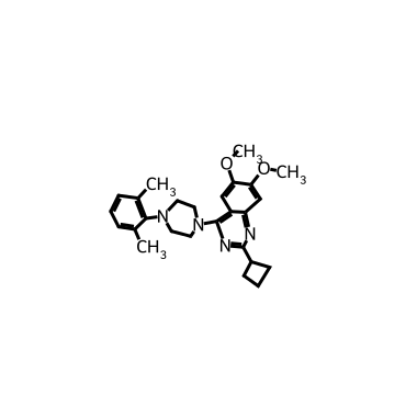 COc1cc2nc(C3CCC3)nc(N3CCN(c4c(C)cccc4C)CC3)c2cc1OC